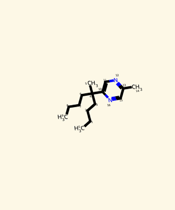 CCCCC(C)(CCCC)c1cnc(C)cn1